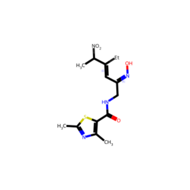 CC/C(=C\C(CNC(=O)c1sc(C)nc1C)=N/O)C(C)[N+](=O)[O-]